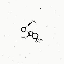 CC#C[C@H]1CCC[C@H]1c1sc2c(c1C(=O)O)CC(C)(C)CC2